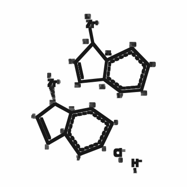 [Cl-].[H-].[Zr+][C@H]1C=Cc2ccccc21.[Zr+][CH]1C=Cc2ccccc21